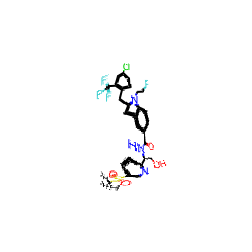 [2H]C([2H])([2H])S(=O)(=O)c1ccc([C@H](CO)NC(=O)c2ccc3c(c2)cc(Cc2ccc(Cl)cc2C(F)(F)F)n3CCF)nc1